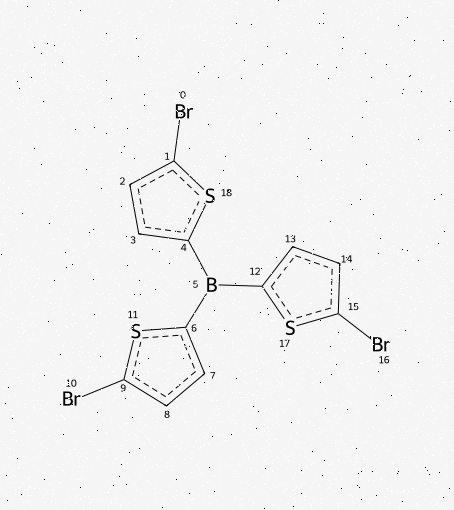 Brc1ccc(B(c2ccc(Br)s2)c2ccc(Br)s2)s1